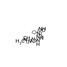 CN(C)[C@@H]1CCN(c2ccc(Nc3ncc4c(n3)N(C3CCCC3)C3(CCNC3=O)C4)cn2)C1